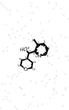 Cc1cccnc1C(O)C1CCOCC1